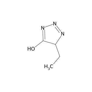 CCC1N=NN=C1O